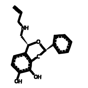 C=CCNC[C@@H]1O[C@H](c2ccccc2)Cc2c1ccc(O)c2O